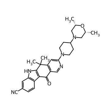 C[C@@H]1CN(C2CCN(c3cc4c(cn3)C(=O)c3c([nH]c5cc(C#N)ccc35)C4(C)C)CC2)C[C@H](C)O1